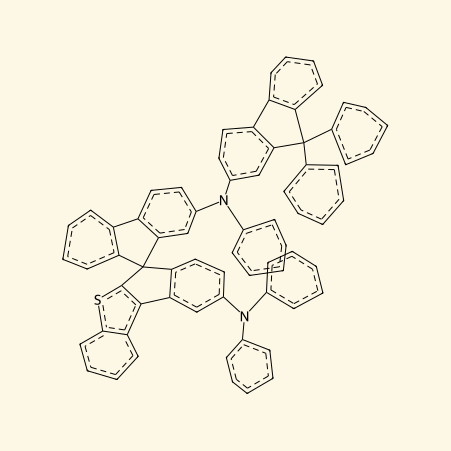 c1ccc(N(c2ccccc2)c2ccc3c(c2)-c2c(sc4ccccc24)C32c3ccccc3-c3ccc(N(c4ccccc4)c4ccc5c(c4)C(c4ccccc4)(c4ccccc4)c4ccccc4-5)cc32)cc1